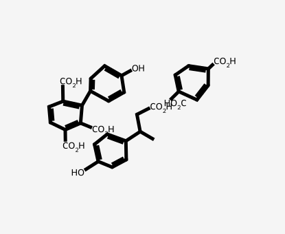 CC(CC(=O)O)c1ccc(O)cc1.O=C(O)c1ccc(C(=O)O)c(-c2ccc(O)cc2)c1C(=O)O.O=C(O)c1ccc(C(=O)O)cc1